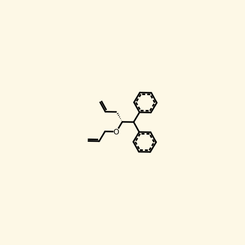 C=CCO[C@H](CC=C)C(c1ccccc1)c1ccccc1